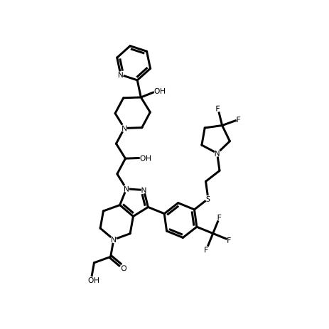 O=C(CO)N1CCc2c(c(-c3ccc(C(F)(F)F)c(SCCN4CCC(F)(F)C4)c3)nn2CC(O)CN2CCC(O)(c3ccccn3)CC2)C1